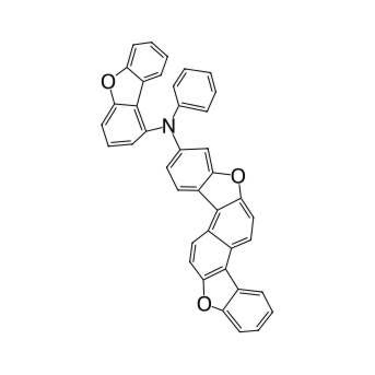 c1ccc(N(c2ccc3c(c2)oc2ccc4c(ccc5oc6ccccc6c54)c23)c2cccc3oc4ccccc4c23)cc1